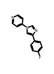 Fc1ccc(-c2cn(-c3ccncc3)cn2)cc1